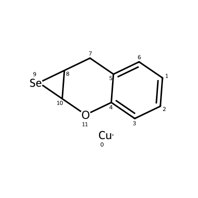 [Cu].c1ccc2c(c1)CC1[Se]C1O2